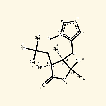 [2H]C([2H])([2H])C[C@]1([2H])C(=O)OC([2H])([2H])[C@]1([2H])Cc1cncn1C